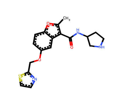 Cc1oc2ccc(OCc3nccs3)cc2c1C(=O)NC1CCNC1